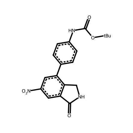 CC(C)(C)OC(=O)Nc1ccc(-c2cc([N+](=O)[O-])cc3c2CNC3=O)cc1